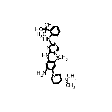 COc1cc(N2CCC[C@@H](N(C)C)C2)c(N)cc1Nc1ncnc(Nc2ccccc2C(C)(C)O)n1